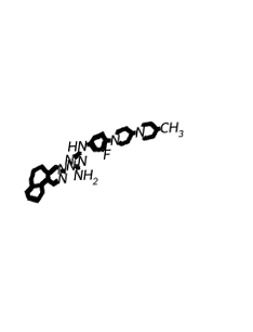 CC1CCN(C2CCN(c3ccc(Nc4nc(N)n(N5C=C6CCCC7=CC=CCC7=C6C=N5)n4)cc3F)CC2)CC1